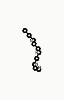 c1ccc(-c2ccc(-c3ccc4cc(-c5ccc6ccc(-c7ccc(-c8ccc9ccc%10cccnc%10c9n8)cc7)nc6c5)ccc4n3)cc2)cc1